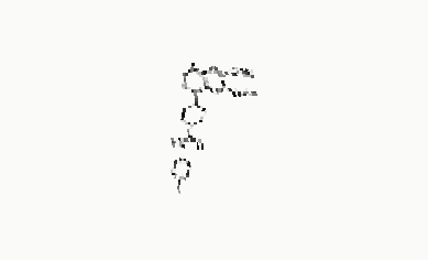 COc1cc2ncnc(C3CCN(C(=O)Nc4ccc(C)cc4)CC3)c2cc1OC